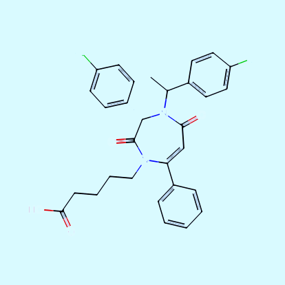 CC(c1ccc(Cl)cc1)N1C(=O)C=C(c2ccccc2)N(CCCCC(=O)O)C(=O)[C@@H]1c1ccc(Cl)cc1